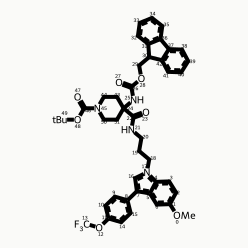 COc1ccc2c(c1)c(-c1ccc(OC(F)(F)F)cc1)cn2CCCNC(=O)C1(NC(=O)OCC2c3ccccc3-c3ccccc32)CCN(C(=O)OC(C)(C)C)CC1